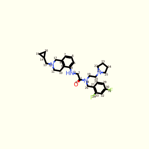 O=C(CNc1cccc2c1CCN(CC1CC1)C2)N(CCN1CCCC1)Cc1ccc(F)cc1F